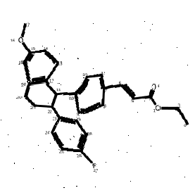 CCOC(=O)C=Cc1ccc(C2c3ccc(OC)cc3CCC2c2ccc(F)cc2)cc1